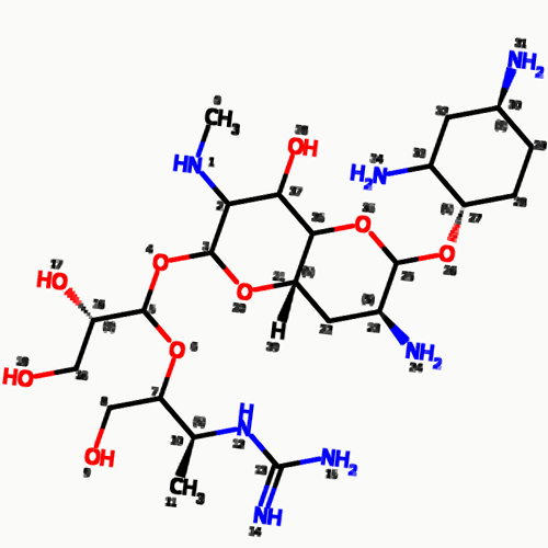 CNC1C(OC(OC(CO)[C@H](C)NC(=N)N)[C@@H](O)CO)O[C@H]2C[C@H](N)C(O[C@H]3CC[C@H](N)CC3N)OC2C1O